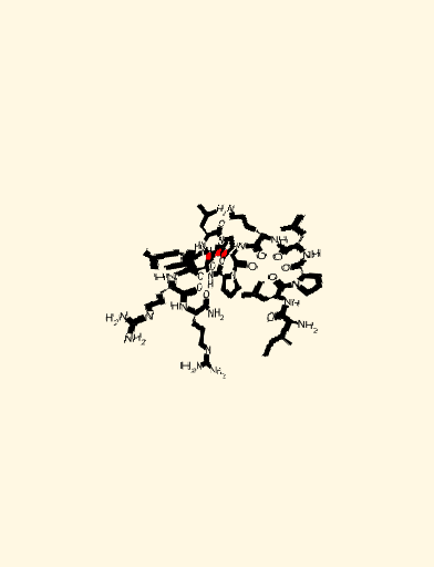 CC[C@H](C)[C@H](N)C(=O)N[C@@H](CC(C)C)C(=O)N1CCC[C@H]1C(=O)N[C@@H](CC(C)C)C(=O)N[C@@H](CCCCN)C(=O)N[C@@H](CC(C)C)C(=O)N1CCC[C@H]1C(=O)N[C@@H](CC(C)C)C(=O)N[C@@H](CC(C)C)C(=O)N1CCC[C@H]1C(=O)N[C@@H](CC(C)C)C(=O)N[C@@H](CCCN=C(N)N)C(=O)N[C@@H](CCCN=C(N)N)C(N)=O